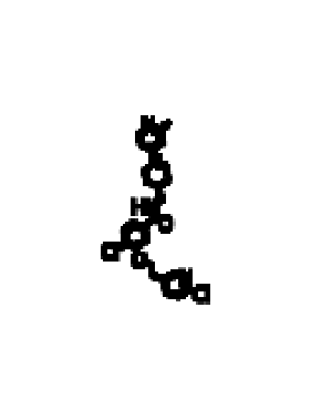 Cc1cc(N2CCC(CNC(=O)c3ccc(Cl)c(OCCc4ccc(Cl)nc4)c3)CC2)ccn1